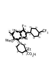 CC[C@]1(C(=O)O)CCCN(c2c(OC)c(C)nc3c(F)c(C4CCC(C(F)(F)F)CC4)nn23)C1